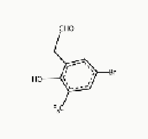 O=CCc1cc(Br)cc(C(F)(F)F)c1O